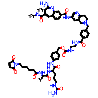 CCCN(CCC)C(=O)C1=Cc2ccc(C(=O)Nc3cnc4c(c3)CN(Cc3ccc(C(=O)NCCNC(=O)OCc5ccc(NC(=O)C(CCCNC(N)=O)NC(=O)C(NC(=O)CCCCCN6C(=O)C=CC6=O)C(C)C)cc5)cc3)CC4)cc2N=C(N)C1